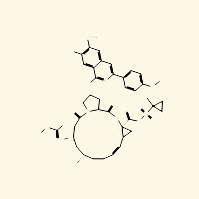 COc1cc2cc(-c3ccc(OC(C)C)cc3)nc(O[C@@H]3C[C@H]4C(=O)N[C@]5(C(=O)NS(=O)(=O)C6(C)CC6)C[C@H]5/C=C\CC[C@@H](C)C[C@@H](C)[C@H](NC(=O)OC(C)(C)C)C(=O)N4C3)c2cc1F